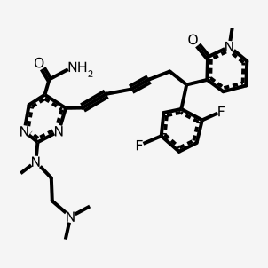 CN(C)CCN(C)c1ncc(C(N)=O)c(C#CC#CCC(c2cc(F)ccc2F)c2cccn(C)c2=O)n1